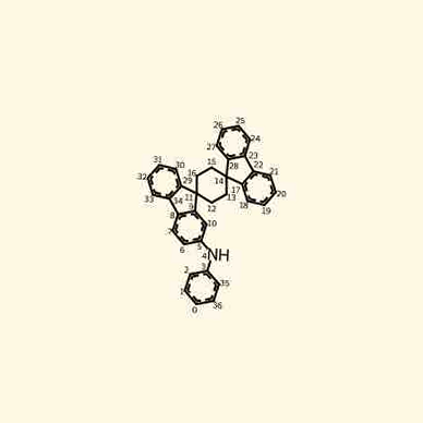 c1ccc(Nc2ccc3c(c2)C2(CCC4(CC2)c2ccccc2-c2ccccc24)c2ccccc2-3)cc1